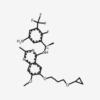 COc1cc2nc(C)nc(N[C@H](C)c3cc(N)cc(C(F)(F)F)c3F)c2cc1OCCCOC1CC1